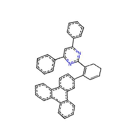 C1=CC(c2ccc3c4ccccc4c4ccccc4c3c2)=C(c2nc(-c3ccccc3)cc(-c3ccccc3)n2)CC1